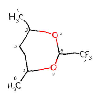 CC1CC(C)OC(C(F)(F)F)O1